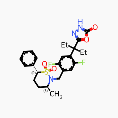 CCC(CC)(c1n[nH]c(=O)o1)c1cc(F)c(CN2[C@@H](C)CC[C@H](c3ccccc3)S2(=O)=O)cc1F